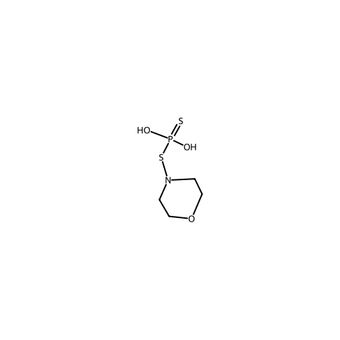 OP(O)(=S)SN1CCOCC1